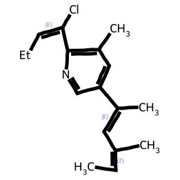 C/C=C(C)\C=C(/C)c1cnc(/C(Cl)=C\CC)c(C)c1